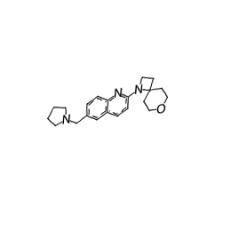 c1cc2nc(N3CCC34CCOCC4)ccc2cc1CN1CCCC1